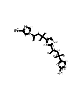 CC(C)c1cn(C(C)CC(C)(C)c2cnc(C(C)CC(C)(C)c3cnc(C(C)C)o3)s2)cn1